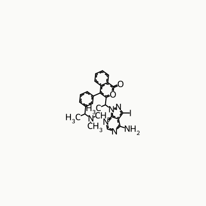 CC(c1cccc(-c2c(C(C)n3nc(I)c4c(N)ncnc43)oc(=O)c3ccccc23)c1)N(C)C